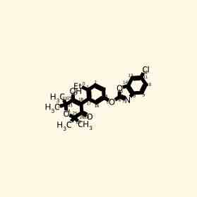 CCc1ccc(Oc2nc3ccc(Cl)cc3o2)cc1C1=C(O)C(C)(C)OC(C)(C)C1=O